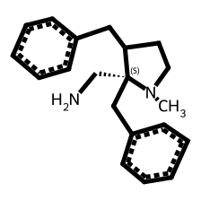 CN1CCC(Cc2ccccc2)[C@]1(CN)Cc1ccccc1